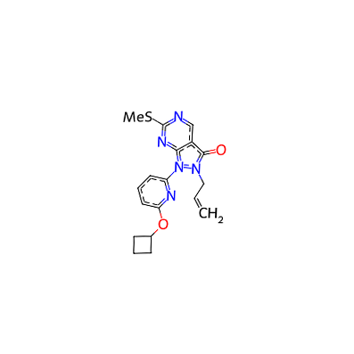 C=CCn1c(=O)c2cnc(SC)nc2n1-c1cccc(OC2CCC2)n1